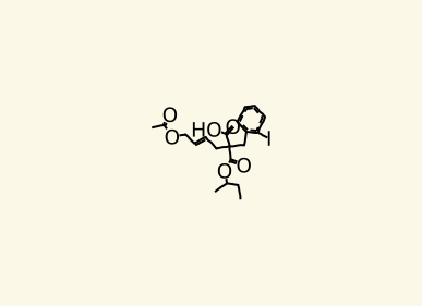 CCC(C)OC(=O)C(CC=CCOC(C)=O)(Cc1ccccc1I)C(=O)O